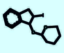 IC1Cc2ccccc2C1OC1CCCCO1